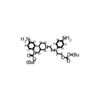 CC(C)(C)OC(=O)OCCN(CCN1CCCC(CN(C(=O)OC(C)(C)C)c2ccc(N)cc2)C1)c1ccc(N)cc1